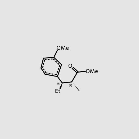 CC[C@@H](c1cccc(OC)c1)[C@@H](C)C(=O)OC